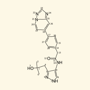 CC(C)(O)Cc1n[nH]cc1NC(=O)Cc1ccc(-c2ccn3ncnc3c2)cc1